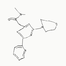 CN(C)C(=O)c1cc(N2CCOCC2)nc(-c2ccccn2)n1